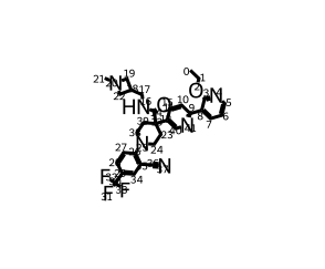 CCOc1ncccc1-c1ccc(C2(C(=O)NCC3CN(C)C3)CCN(c3ccc(C(F)(F)F)cc3C#N)CC2)cn1